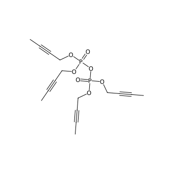 CC#CCOP(=O)(OCC#CC)OP(=O)(OCC#CC)OCC#CC